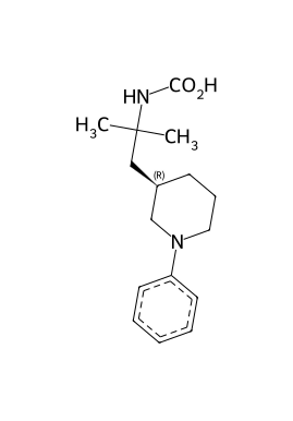 CC(C)(C[C@H]1CCCN(c2ccccc2)C1)NC(=O)O